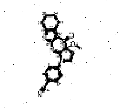 CO[C@@]12CCN(c3ccc(C#N)cc3)C1=Nc1sc3c(c1C2=O)CCCC3